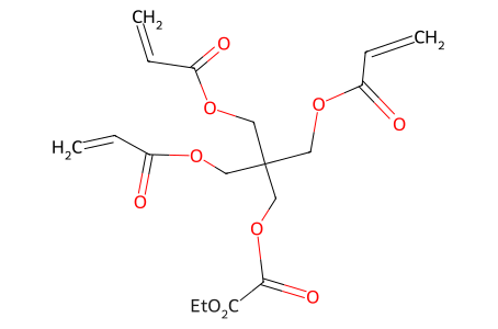 C=CC(=O)OCC(COC(=O)C=C)(COC(=O)C=C)COC(=O)C(=O)OCC